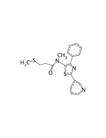 CSCCC(=O)N(C)c1sc(-c2cccnc2)nc1-c1ccccc1